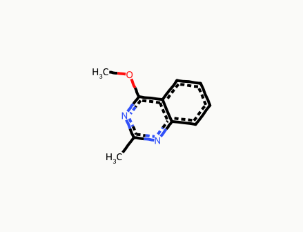 COc1nc(C)nc2ccccc12